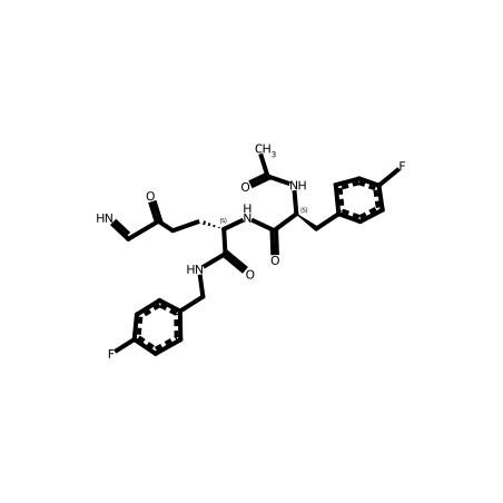 CC(=O)N[C@@H](Cc1ccc(F)cc1)C(=O)N[C@@H](CCC(=O)C=N)C(=O)NCc1ccc(F)cc1